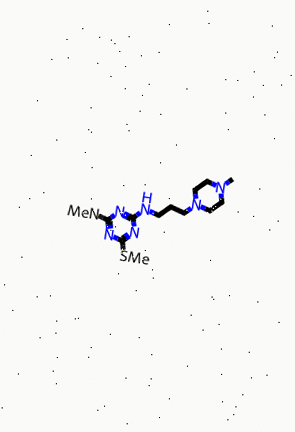 CNc1nc(NCCCN2CCN(C)CC2)nc(SC)n1